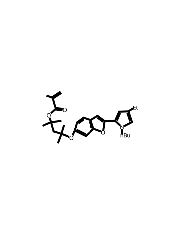 C=C(C)C(=O)OC(C)(C)CC(C)(C)Oc1ccc2cc(-c3cc(CC)cn3CCCC)oc2c1